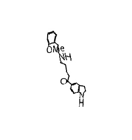 COc1ccccc1CCNCCCCC(=O)c1ccc2c(c1)CCN2